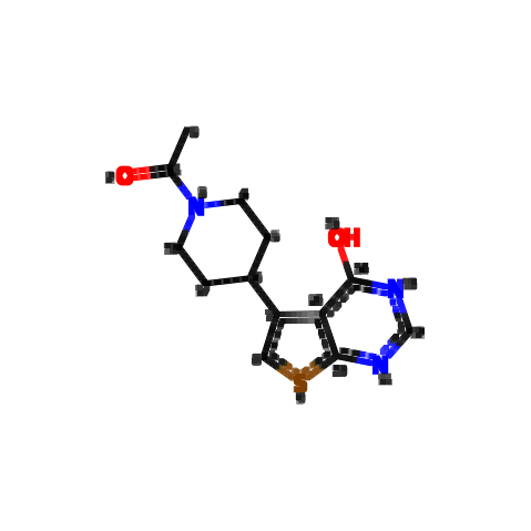 CC(=O)N1CCC(c2csc3ncnc(O)c23)CC1